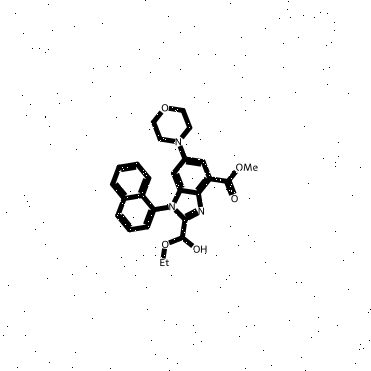 CCOC(O)c1nc2c(C(=O)OC)cc(N3CCOCC3)cc2n1-c1cccc2ccccc12